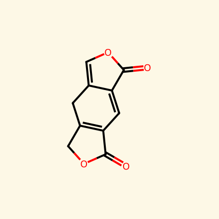 O=C1OC=C2CC3=C(C=C12)C(=O)OC3